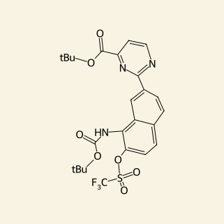 CC(C)(C)OC(=O)Nc1c(OS(=O)(=O)C(F)(F)F)ccc2ccc(-c3nccc(C(=O)OC(C)(C)C)n3)cc12